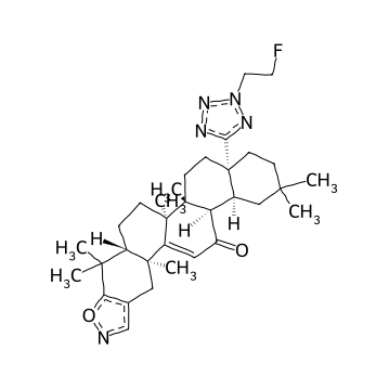 CC1(C)CC[C@]2(c3nnn(CCF)n3)CC[C@]3(C)[C@H](C(=O)C=C4[C@@]5(C)Cc6cnoc6C(C)(C)[C@@H]5CC[C@]43C)[C@@H]2C1